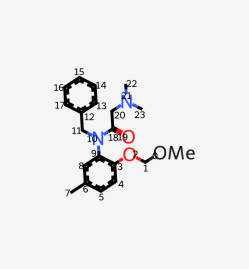 COCOc1ccc(C)cc1N(Cc1ccccc1)C(=O)CN(C)C